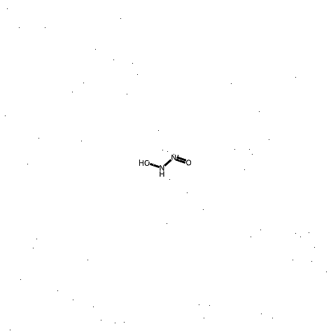 O=[N+]NO